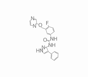 O=C(Nc1ccc(F)c(COc2cnccn2)c1)Nc1n[nH]cc1-c1ccccc1